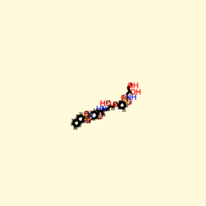 O=S(=O)(NCC(O)CO)c1cccc(OCC(O)CNC2COC3(CCN(S(=O)(=O)c4ccc5ccccc5c4)CC3)C2)c1